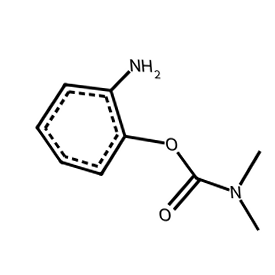 CN(C)C(=O)Oc1ccccc1N